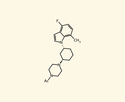 CC(=O)N1CCN([C@@H]2CCC[C@@H](n3ccc4c(F)ccc(C)c43)C2)CC1